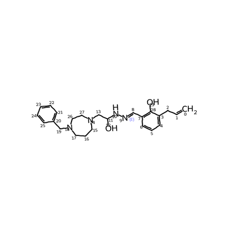 C=CCc1cccc(/C=N/NC(O)CN2CCCN(Cc3ccccc3)CC2)c1O